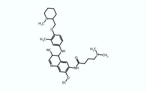 CCOc1cc2c(cc1NC(=O)CCCN(C)C)C(Nc1ccc(OCC3CCCCN3C)c(C)c1)C(C#N)C=N2